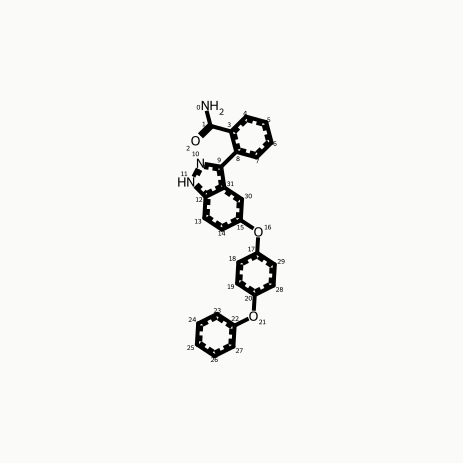 NC(=O)c1ccccc1-c1n[nH]c2ccc(Oc3ccc(Oc4ccccc4)cc3)cc12